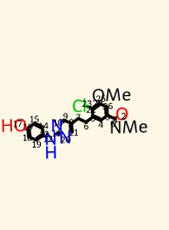 CNC(=O)c1cc(CCc2cnc(Nc3ccc(O)cc3)nc2)c(Cl)c(OC)c1